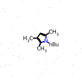 CCCCn1c(C)cc(C)c1C